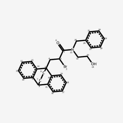 O=C(C(Br)CC12CCC(c3ccccc31)c1ccccc12)N(CCO)Cc1ccccc1